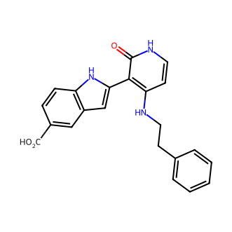 O=C(O)c1ccc2[nH]c(-c3c(NCCc4ccccc4)cc[nH]c3=O)cc2c1